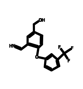 N=Cc1cc(CO)ccc1Oc1cccc(C(F)(F)F)c1